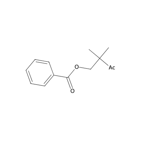 CC(=O)C(C)(C)COC(=O)c1ccccc1